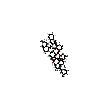 c1ccc(-c2cc3ccccc3cc2N(c2cccc3ccccc23)c2ccc3c4c(cccc24)C2(c4ccccc4-c4ccc(-c5ccccc5)c5cccc2c45)c2ccccc2-3)cc1